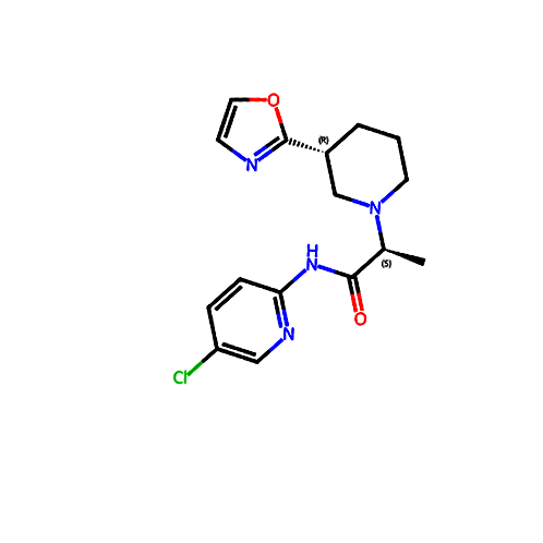 C[C@@H](C(=O)Nc1ccc(Cl)cn1)N1CCC[C@@H](c2ncco2)C1